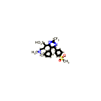 CN(C)CCC(c1nc(C(F)(F)F)nc(-c2ccc(S(C)(=O)=O)cc2)c1-c1ccccc1)S(=O)(=O)O